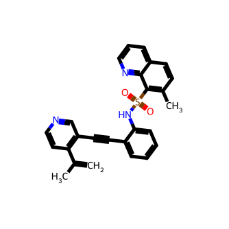 C=C(C)c1ccncc1C#Cc1ccccc1NS(=O)(=O)c1c(C)ccc2cccnc12